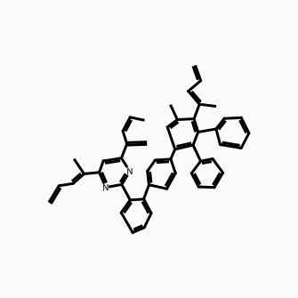 C=C/C=C(\C)c1cc(C(=C)/C=C\C)nc(-c2ccccc2-c2ccc(-c3cc(C)c(/C(C)=C/C=C)c(-c4ccccc4)c3-c3ccccc3)cc2)n1